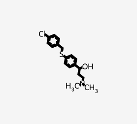 CN(C)CCC(O)c1ccc(SCc2ccc(Cl)cc2)cc1